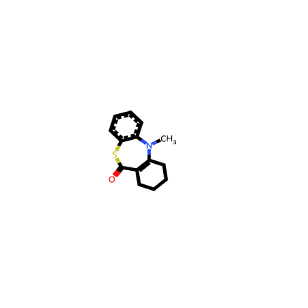 CN1C2=C(CCCC2)C(=O)Sc2ccccc21